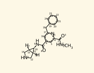 CNC(=O)c1cc(C(=O)N[C@H]2[C@@H]3CNC[C@@H]32)cc(Cc2ccccc2)n1